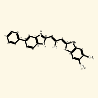 CCC(/C=C1/Nc2cc(C)c(C)cc2S1)=C\c1nc2cc(-c3ccccc3)ccc2o1